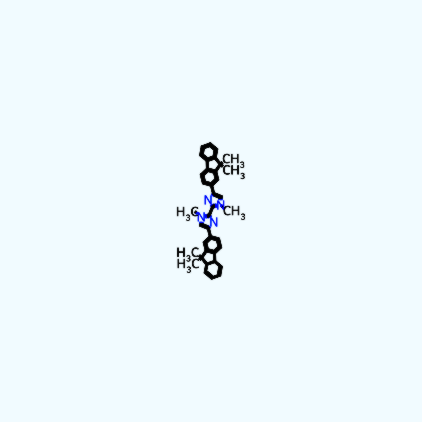 Cn1cc(-c2ccc3c(c2)C(C)(C)c2ccccc2-3)nc1-c1nc(-c2ccc3c(c2)C(C)(C)C2C=CC=CC32)cn1C